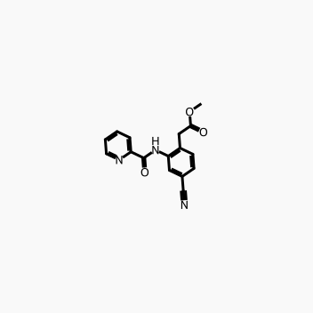 COC(=O)Cc1ccc(C#N)cc1NC(=O)c1ccccn1